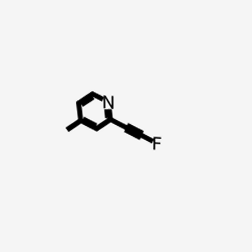 Cc1ccnc(C#CF)c1